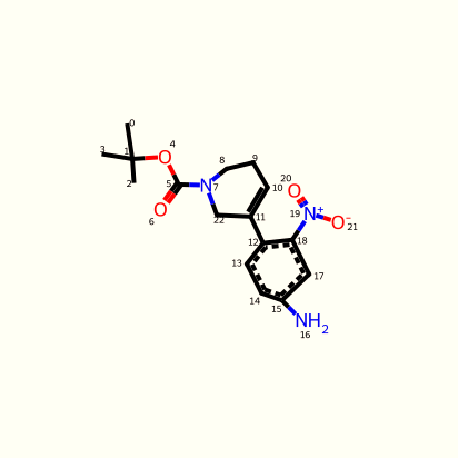 CC(C)(C)OC(=O)N1CCC=C(c2ccc(N)cc2[N+](=O)[O-])C1